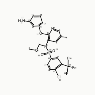 COCN(c1cc(C)cnc1Oc1cccc(N)c1)S(=O)(=O)c1ccc(Cl)c(C(F)(F)F)c1